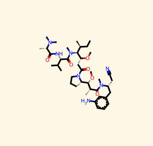 CC[C@H](C)[C@@H]([C@@H](CC(=O)N1CCC[C@H]1[C@H](OC)[C@@H](C)C(=O)N(C)[C@H](CC#N)Cc1cccc(N)c1)OC)N(C)C(=O)[C@@H](NC(=O)[C@H](C)N(C)C)C(C)C